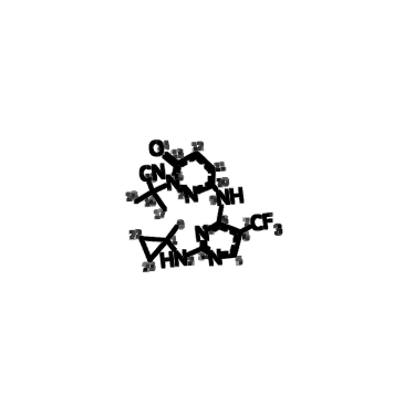 CC1(Nc2ncc(C(F)(F)F)c(Nc3ccc(=O)n(C(C)(C)C#N)n3)n2)CC1